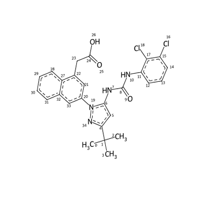 CC(C)(C)c1cc(NC(=O)Nc2cccc(Cl)c2Cl)n(-c2cc(CC(=O)O)c3ccccc3c2)n1